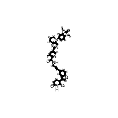 Cc1cc(-c2ncc3c(n2)CCCN3c2ccc3c(c2)n(C)c(=O)n3C)cnc1C(=O)NCC#Cc1ccc2occ(C3CCC(=O)NC3=O)c2c1